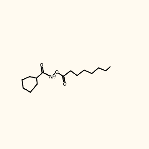 CCCCCCCC(=O)ONC(=O)C1CCCCC1